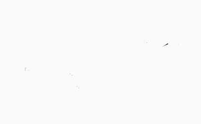 C[C@H]1CCc2c(ccc(-c3cnn(C4CCNCC4)c3)c2Oc2ccccc2F)N1C(=O)C1CC1